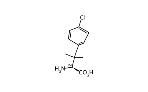 CC(C)(c1ccc(Cl)cc1)[C@H](N)C(=O)O